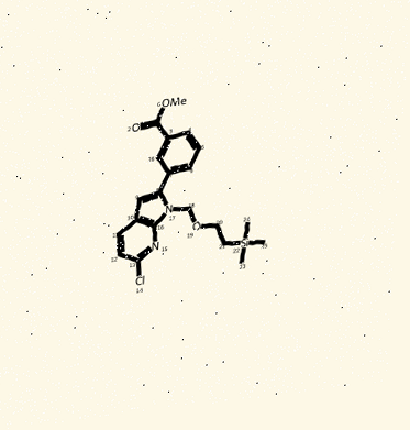 COC(=O)c1cccc(-c2cc3ccc(Cl)nc3n2COCC[Si](C)(C)C)c1